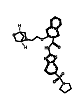 O=C(Nc1nc2ccc(S(=O)(=O)N3CCCC3)cc2s1)c1cc2ccccc2cc1OCCN1C[C@H]2C[C@@H]1CO2